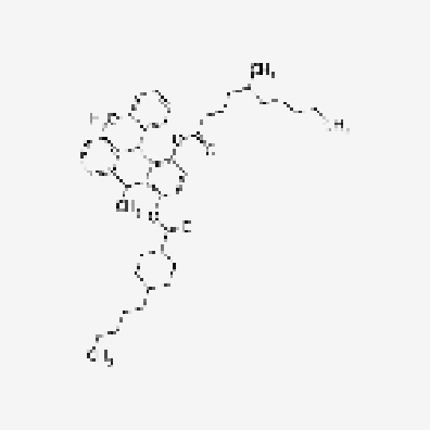 CCCCCC(C)CCCC(=O)Oc1ccc(OC(=O)C2CCC(CCCCC)CC2)c2c1C(c1ccccc1C)c1ccccc1C2C